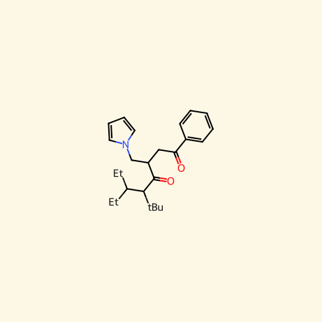 CCC(CC)C(C(=O)C(CC(=O)c1ccccc1)Cn1cccc1)C(C)(C)C